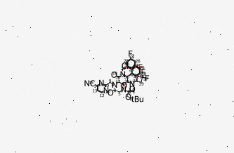 CC(C)(C)OC(=O)N1CC(=O)N(Cc2nccc(C#N)n2)[C@H](C(=O)N(Cc2cc(F)cc(F)c2)[C@H](C(=O)NC2CC(F)(F)C2)c2ccccc2Cl)C1